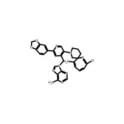 NC1=CC=CC(Cl)=NC12CCCN(c1cnc(-c3ccc4c(c3)OCO4)cc1Cn1cnc3c(N)ncnc31)C2